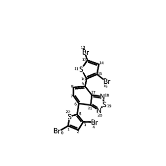 Brc1cc(Br)c(-c2ccc(-c3sc(Br)cc3Br)c3nsnc23)s1